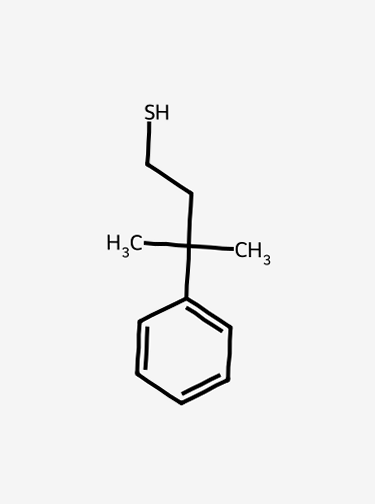 CC(C)(CCS)c1ccccc1